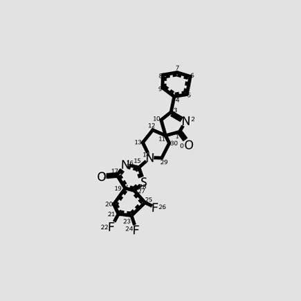 O=C1N=C(c2ccccc2)CC12CCN(c1nc(=O)c3cc(F)c(F)c(F)c3s1)CC2